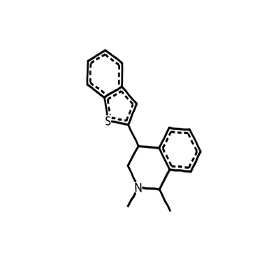 CC1c2ccccc2C(c2cc3ccccc3s2)CN1C